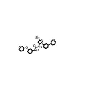 CC(C)(C)c1cc(NC(=O)Nc2cccc(Oc3cccnc3)c2)n(-c2cccc(-c3cccnc3)c2)n1